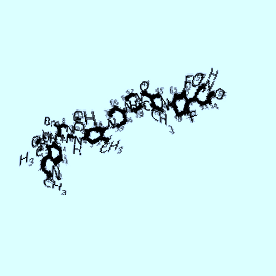 CCc1cc(Nc2ncc(Br)c(Nc3ccc4nc(C)ccc4c3P(C)(C)=O)n2)c(OC)cc1N1CCC(N2CCN(C(=O)C3CN(c4cc(F)c(C5CCC(=O)NC5=O)c(F)c4)CC3(C)C)CC2)CC1